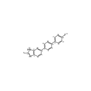 Cc1nc2ccc(-c3ccc(-c4ccc(F)cc4)cc3)cc2[nH]1